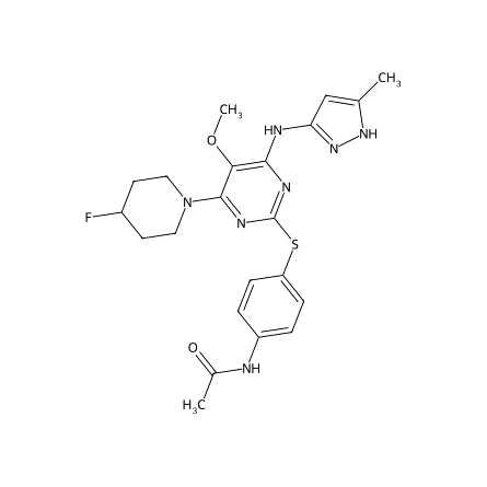 COc1c(Nc2cc(C)[nH]n2)nc(Sc2ccc(NC(C)=O)cc2)nc1N1CCC(F)CC1